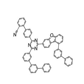 N#Cc1ccccc1-c1ccc(-c2nc(-c3cccc(-c4cccc(-c5ccccc5)c4)c3)nc(-c3ccc4c(c3)oc3cccc(-c5cccc(-c6ccccc6)c5)c34)n2)cc1